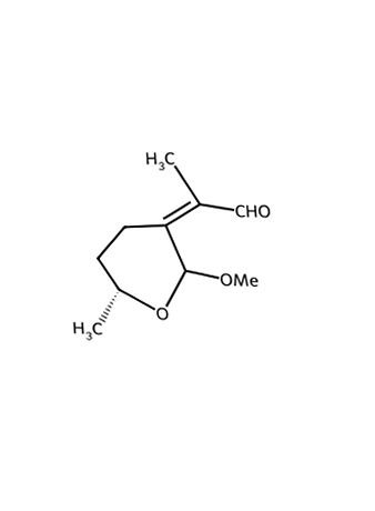 COC1O[C@H](C)CC/C1=C(\C)C=O